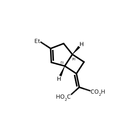 CCC1=C[C@H]2C(=C(C(=O)O)C(=O)O)C[C@H]2C1